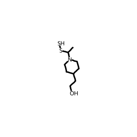 CC(SS)N1CCC(CCO)CC1